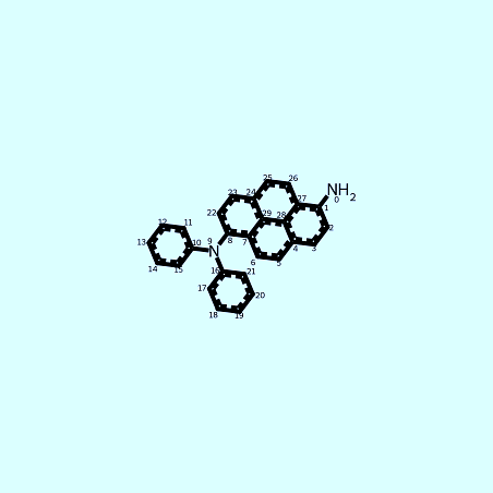 Nc1ccc2ccc3c(N(c4ccccc4)c4ccccc4)ccc4ccc1c2c43